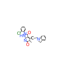 CC1C(=O)N=c2[nH]n(-c3ccccc3Cl)c(=O)c2=C1CCCN1CCc2ccccc21